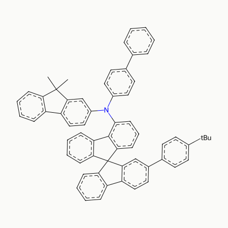 CC(C)(C)c1ccc(-c2ccc3c(c2)C2(c4ccccc4-3)c3ccccc3-c3c(N(c4ccc(-c5ccccc5)cc4)c4ccc5c(c4)C(C)(C)c4ccccc4-5)cccc32)cc1